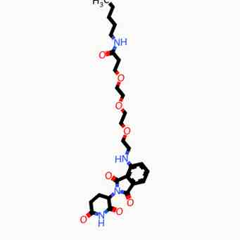 CCCCCNC(=O)CCOCCOCCOCCNc1cccc2c1C(=O)N(C1CCC(=O)NC1=O)C2=O